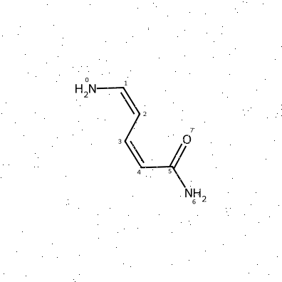 N/C=C\C=C/C(N)=O